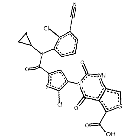 N#Cc1cccc(N(C(=O)c2cc(-n3c(=O)[nH]c4csc(C(=O)O)c4c3=O)c(Cl)s2)C2CC2)c1Cl